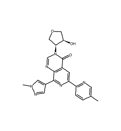 Cc1ccc(-c2cc3c(=O)n([C@H]4COC[C@H]4O)cnc3c(-c3cnn(C)c3)n2)nc1